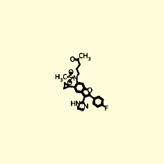 CC(=O)CCCN(c1cc2oc(-c3ccc(F)cc3)c(-c3ncc[nH]3)c2cc1C1CC1)S(C)(=O)=O